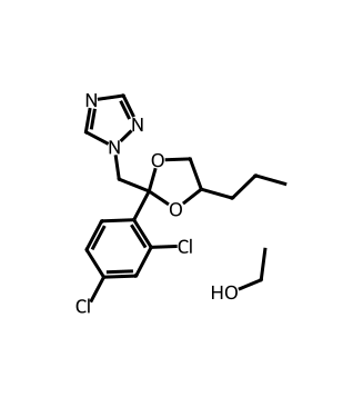 CCCC1COC(Cn2cncn2)(c2ccc(Cl)cc2Cl)O1.CCO